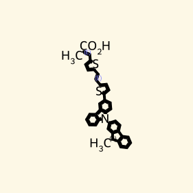 C/C(=C\c1ccc(/C=C/c2ccc(-c3ccc4c(c3)c3ccccc3n4-c3ccc4c(c3)[C@H](C)c3ccccc3-4)s2)s1)C(=O)O